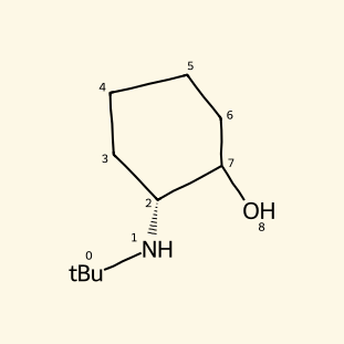 CC(C)(C)N[C@@H]1CCCCC1O